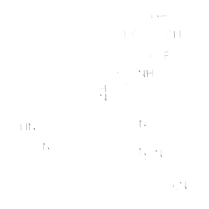 CC(C)(O)[C@H](F)CNC(=O)c1cnc(-c2ccc3cc(C#N)cnn23)cc1Nc1ccc(-c2ncc[nH]2)cc1